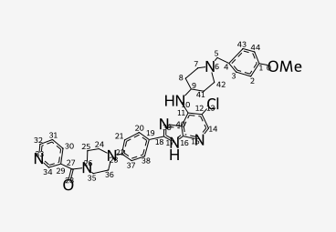 COc1ccc(CN2CCC(Nc3c(Cl)cnc4[nH]c(-c5ccc(N6CCN(C(=O)c7cccnc7)CC6)cc5)nc34)CC2)cc1